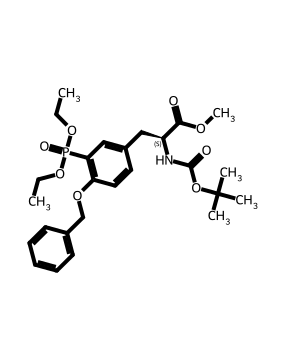 CCOP(=O)(OCC)c1cc(C[C@H](NC(=O)OC(C)(C)C)C(=O)OC)ccc1OCc1ccccc1